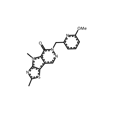 COc1cccc(Cn2ncc3c4sc(C)nc4n(C)c3c2=O)n1